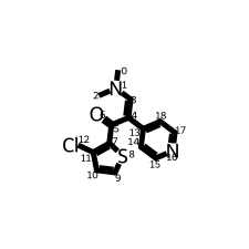 CN(C)C=C(C(=O)c1sccc1Cl)c1ccncc1